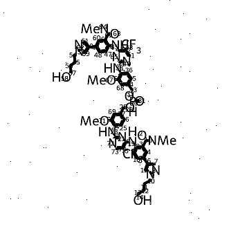 CNC(=O)c1cc(-c2cnn(CCCCO)c2)ccc1Nc1nc(Nc2ccc(CO[PH](=O)OCc3ccc(Nc4ncc(C(F)(F)F)c(Nc5ccc(-c6cnn(CCCCO)c6)cc5C(=O)NC)n4)c(OC)c3)cc2OC)ncc1C(F)(F)F